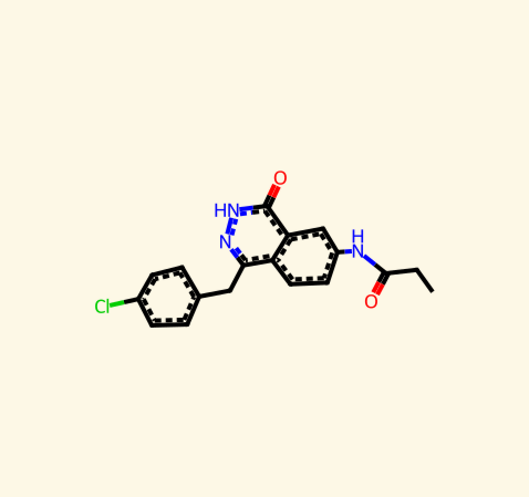 CCC(=O)Nc1ccc2c(Cc3ccc(Cl)cc3)n[nH]c(=O)c2c1